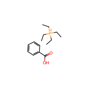 CC[PH](CC)(CC)CC.O=C(O)c1ccccc1